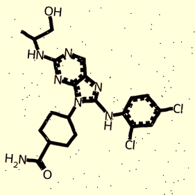 CC(CO)Nc1ncc2nc(Nc3ccc(Cl)cc3Cl)n(C3CCC(C(N)=O)CC3)c2n1